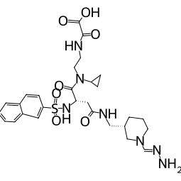 NN=CN1CCC[C@@H](CNC(=O)C[C@H](NS(=O)(=O)c2ccc3ccccc3c2)C(=O)N(CCNC(=O)C(=O)O)C2CC2)C1